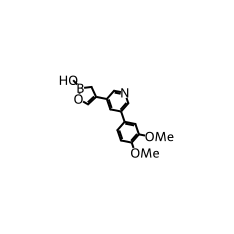 COc1ccc(-c2cncc(C3=COB(O)C3)c2)cc1OC